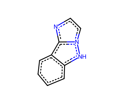 c1ccc2c(c1)[nH]n1ccnc21